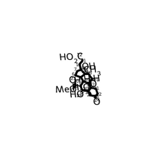 COC(=O)[C@H]1[C@H]2[C@@H]3CC[C@@](O)(CCC(=O)O)[C@@]3(C)C[C@@H]3O[C@@]23[C@@]2(C)CCC(=O)C=C2[C@@H]1O